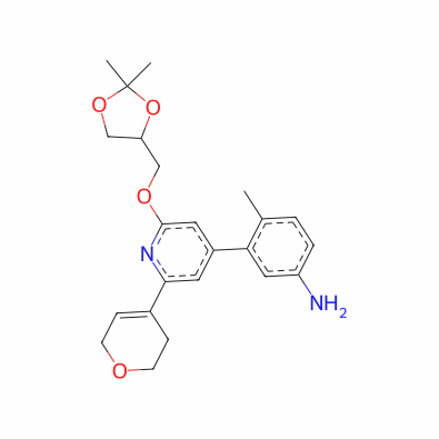 Cc1ccc(N)cc1-c1cc(OCC2COC(C)(C)O2)nc(C2=CCOCC2)c1